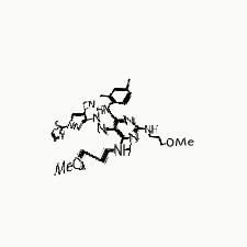 COCCCNc1nc(NCCCOC)c(N=Nc2nn(-c3nccs3)cc2C#N)c(Nc2ccc(C)cc2C)n1